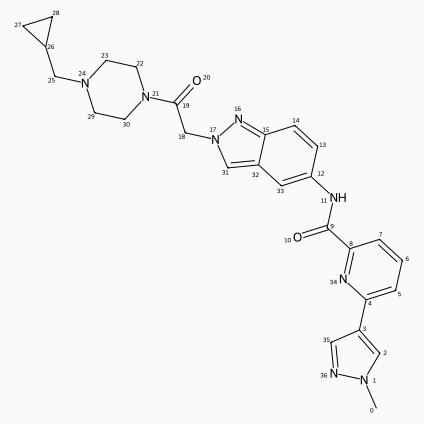 Cn1cc(-c2cccc(C(=O)Nc3ccc4nn(CC(=O)N5CCN(CC6CC6)CC5)cc4c3)n2)cn1